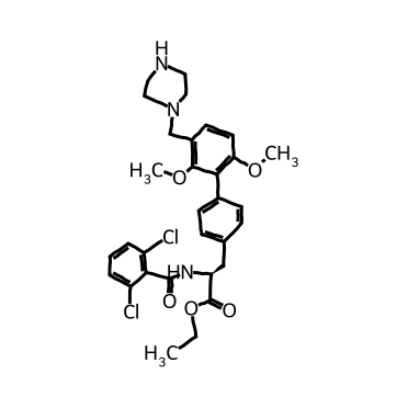 CCOC(=O)[C@H](Cc1ccc(-c2c(OC)ccc(CN3CCNCC3)c2OC)cc1)NC(=O)c1c(Cl)cccc1Cl